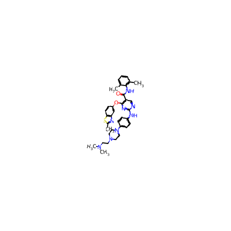 Cc1nc2cc(Oc3nc(Nc4ccc(N5CCN(CCN(C)C)CC5)cc4)ncc3C(=O)Nc3c(C)cccc3C)ccc2s1